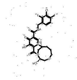 C[C@@H]1COCCC[C@H]2CN1C(=O)c1c(O)c(=O)c(C(=O)NCc3ccc(F)c(Cl)c3F)cn12